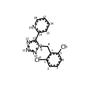 Clc1cccc(Cl)c1Cn1nnnc1-c1ccccn1